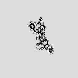 O=CNc1ccnc(C(=NOCc2ccccc2)C(=O)NC2C(=O)N3C(C(=O)O)=C(CSc4nncs4)CS[C@@H]23)n1